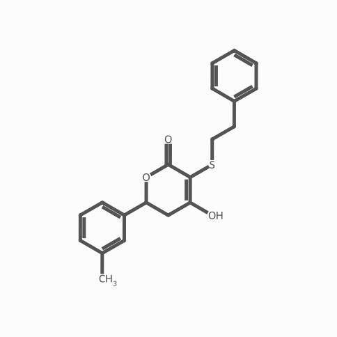 Cc1cccc(C2CC(O)=C(SCCc3ccccc3)C(=O)O2)c1